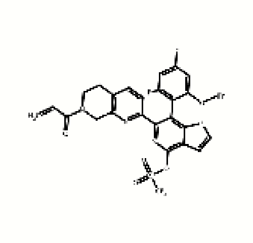 C=CC(=O)N1CCc2ccc(-c3nc(OS(=O)(=O)C(F)(F)F)c4ccsc4c3-c3c(F)cc(F)cc3OC(C)C)nc2C1